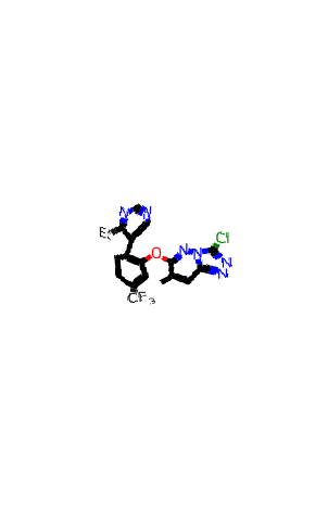 CCc1ncncc1-c1ccc(C(F)(F)F)cc1Oc1nn2c(Cl)nnc2cc1C